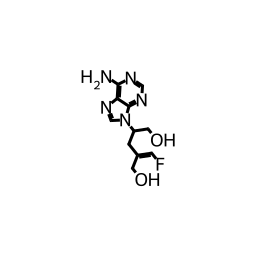 Nc1ncnc2c1ncn2C(CO)CC(=CF)CO